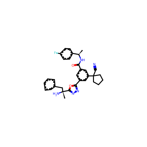 C[C@@H](NC(=O)c1cc(-c2nnc([C@](C)(N)Cc3ccccc3)o2)cc(C2(C#N)CCCC2)c1)c1ccc(F)cc1